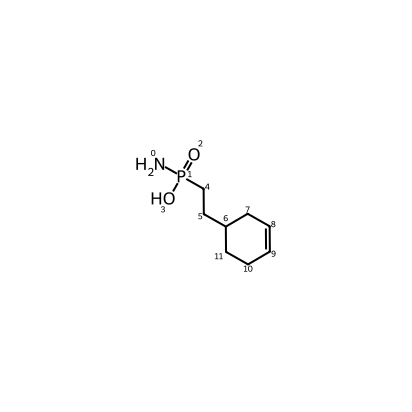 NP(=O)(O)CCC1CC=CCC1